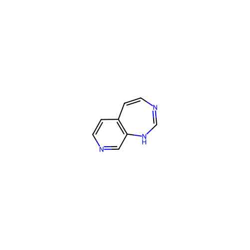 C1=Cc2ccncc2NC=N1